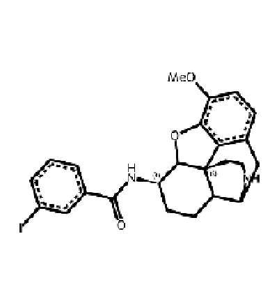 COc1ccc2c3c1OC1[C@H](NC(=O)c4cccc(I)c4)CCC4C(C2)NCC[C@@]341